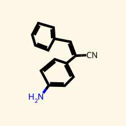 N#CC(=Cc1ccccc1)c1ccc(N)cc1